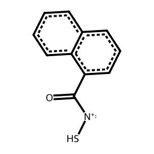 O=C([N+]S)c1cccc2ccccc12